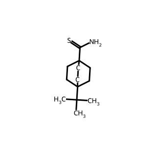 CC(C)(C)C12CCC(C(N)=S)(CC1)CC2